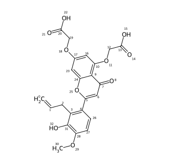 C=CCc1c(-c2cc(=O)c3c(OCC(=O)O)cc(OCC(=O)O)cc3o2)ccc(OC)c1O